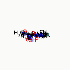 CCn1c(Cn2ccnc(NC(=O)[C@@H](CC/C=C/C(=O)N(C)C)CN(C)C(=O)O)c2=O)cc2cc(F)ccc21